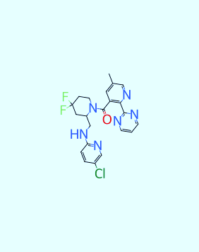 Cc1cnc(-c2ncccn2)c(C(=O)N2CCC(F)(F)CC2CNc2ccc(Cl)cn2)c1